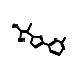 CC(=O)/C(O)=C(\C)C1CC=C(c2ccnc(C)n2)S1